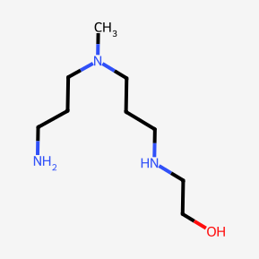 CN(CCCN)CCCNCCO